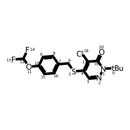 CC(C)(C)n1ncc(SCc2ccc(OC(F)F)cc2)c(Cl)c1=O